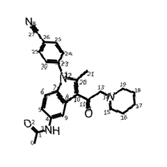 CC(=O)Nc1ccc2c(c1)c(C(=O)CN1CCCCC1)c(C)n2-c1ccc(C#N)cc1